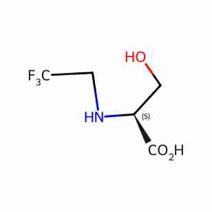 O=C(O)[C@H](CO)NCC(F)(F)F